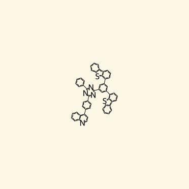 c1ccc(-c2nc(-c3ccc(-c4ccnc5ccccc45)cc3)nc(-c3cc(-c4cccc5c4sc4ccccc45)cc(-c4cccc5c4sc4ccccc45)c3)n2)cc1